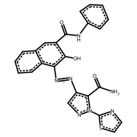 NC(=O)c1c(/N=N/c2c(O)c(C(=O)Nc3ccccc3)cc3ccccc23)cnn1-c1nccs1